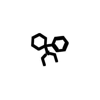 CCN(CC)C1(c2ccccc2)CCCCC1